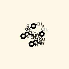 Cc1ccc(S(=O)(=O)Oc2cc3ccccc3nc2C(C)(C)O)cc1.Cc1ccc(S(=O)(=O)Oc2cc3ccccc3nc2C(C)C)cc1